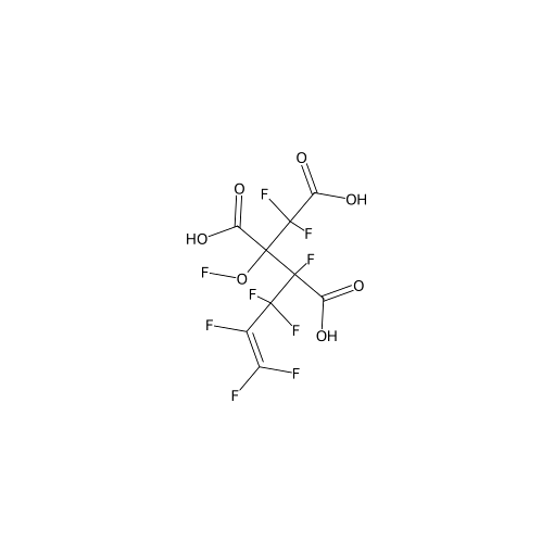 O=C(O)C(F)(F)C(OF)(C(=O)O)C(F)(C(=O)O)C(F)(F)C(F)=C(F)F